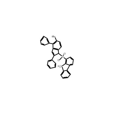 CC(C)(C)c1ccc2c(c1-c1ccccc1)C=C(c1ccccc1)[CH]2[Zr]([Cl])([Cl])[c]1cccc2c1[SiH2]c1ccccc1-2